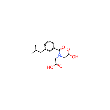 CC(C)Cc1cccc(C(=O)N(CC(=O)O)CC(=O)O)c1